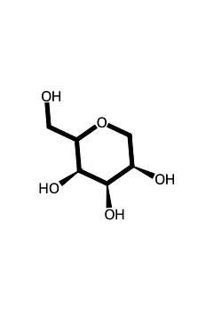 OCC1OC[C@@H](O)[C@@H](O)[C@H]1O